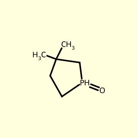 CC1(C)CC[PH](=O)C1